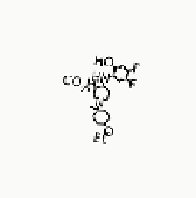 CC(=O)O.CCOC1CCC(C)(N2CCC(Nc3cc(F)c(F)cc3O)CC2)CC1